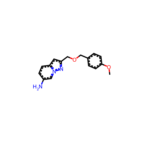 COc1ccc(COCc2cc3ccc(N)cn3n2)cc1